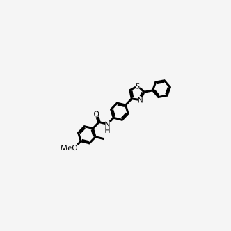 COc1ccc(C(=O)Nc2ccc(-c3csc(-c4ccccc4)n3)cc2)c(C)c1